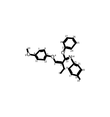 CCC(=COc1ccc(OC)cc1)C(=Nc1ccc(C)cc1)Oc1ccccc1